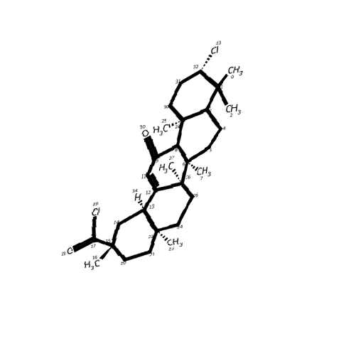 CC1(C)C2CC[C@]3(C)C(C(=O)C=C4[C@@H]5C[C@@](C)(C(=O)Cl)CC[C@]5(C)CC[C@@]43C)[C@@]2(C)CC[C@@H]1Cl